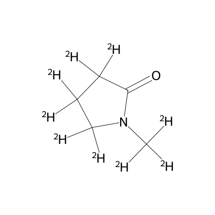 [2H]C([2H])([2H])N1C(=O)C([2H])([2H])C([2H])([2H])C1([2H])[2H]